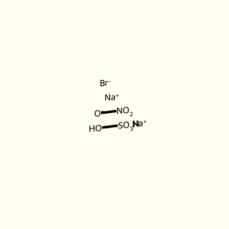 O=S(=O)(O)O.O=[N+]([O-])[O-].[Br-].[Na+].[Na+]